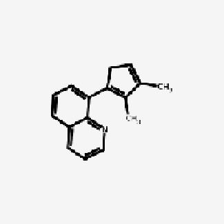 CC1=CCC(c2cccc3cccnc23)=C1C